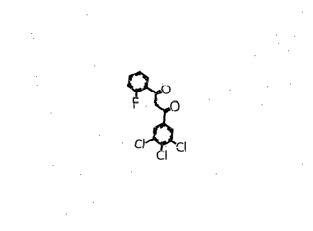 O=C(CC(=O)c1ccccc1F)c1cc(Cl)c(Cl)c(Cl)c1